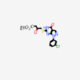 CCOC(=O)CC(=O)CSc1nc2c(cnn2-c2cccc(Cl)c2)c(=O)[nH]1